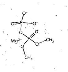 COP(=O)(OC)OP(=O)([O-])[O-].[Mg+2]